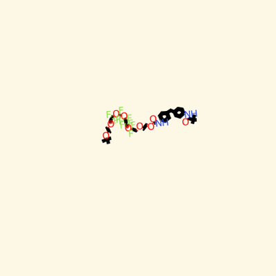 CC(C)(C)OCCOCC(F)(F)OC(F)(F)OC(F)(F)C(F)(F)OC(F)(F)COCCOC(=O)Nc1ccc(Cc2ccc(NC(=O)C(C)(C)C)cc2)cc1